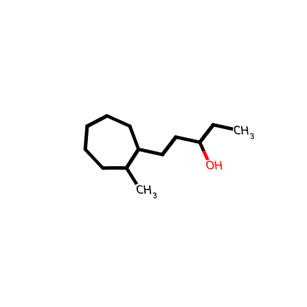 CCC(O)CCC1CCCCCC1C